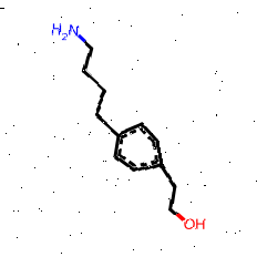 NCCCCc1ccc(CCO)cc1